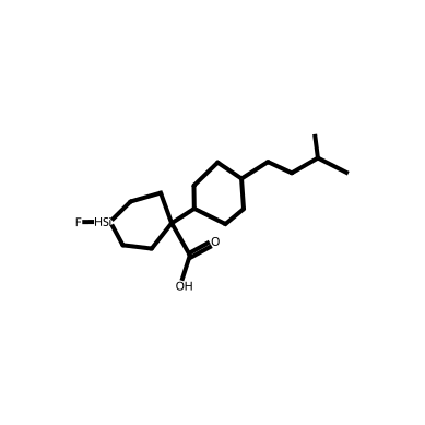 CC(C)CCC1CCC(C2(C(=O)O)CC[SiH](F)CC2)CC1